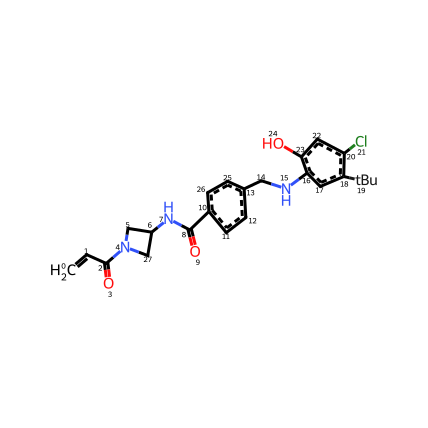 C=CC(=O)N1CC(NC(=O)c2ccc(CNc3cc(C(C)(C)C)c(Cl)cc3O)cc2)C1